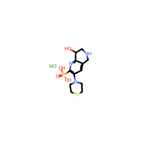 Cl.O=P(O)(O)c1nc2c(cc1N1CCSCC1)CNCC2O